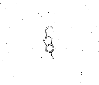 CCC1=Cc2cc(Br)oc2C1